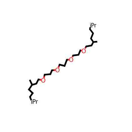 CC(C)CCCC(C)CCOCCCOCCCOCCCOCCC(C)CCCC(C)C